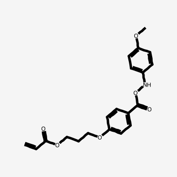 C=CC(=O)OCCCOc1ccc(C(=O)ONc2ccc(OC)cc2)cc1